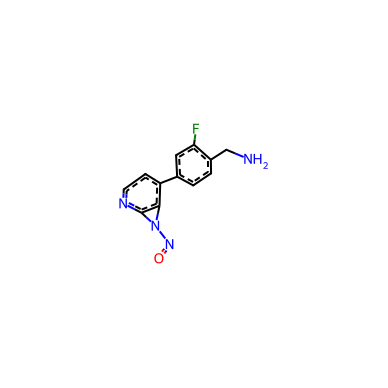 NCc1ccc(-c2ccnc3c2N3N=O)cc1F